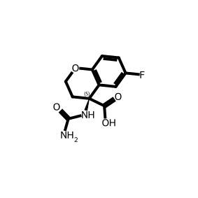 NC(=O)N[C@@]1(C(=O)O)CCOc2ccc(F)cc21